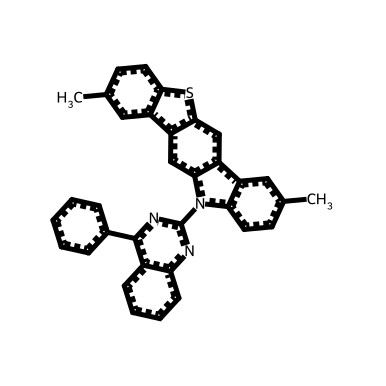 Cc1ccc2sc3cc4c5cc(C)ccc5n(-c5nc(-c6ccccc6)c6ccccc6n5)c4cc3c2c1